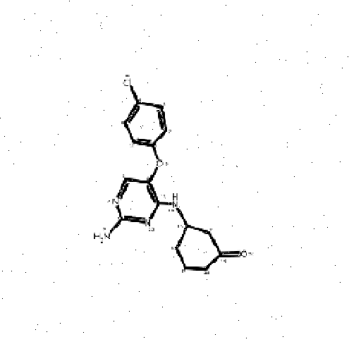 Nc1ncc(Oc2ccc(Cl)cc2)c(NC2CCCC(=O)C2)n1